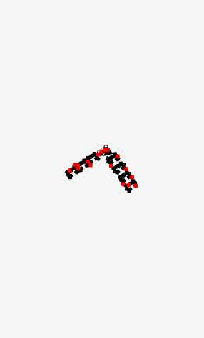 C1CO1.C1CO1.C1CO1.C1CO1.CC(C)CC(C)C#CC(C)CC(C)C.CC(C)CC(C)C#CC(C)CC(C)C.CC(C)CC(C)C#CC(C)CC(C)C.CC(C)CC(C)C#CC(C)CC(C)C.CC(C)CC(C)C#CC(C)CC(C)C.CC(C)CC(C)C#CC(C)CC(C)C.CC(C)CC(C)C#CC(C)CC(C)C